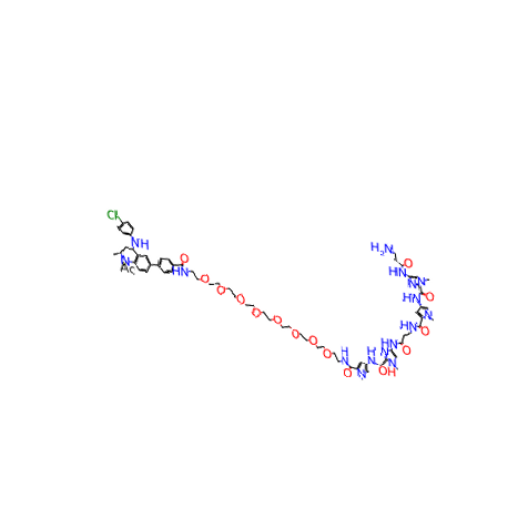 CC(=O)N1c2ccc(-c3ccc(C(=O)NCCOCCOCCOCCOCCOCCOCCOCCOCCNC(=O)c4cc(NC(O)c5nc(NC(=O)CCNC(=O)c6cc(NC(=O)c7nc(NC(=O)CCN)cn7C)cn6C)cn5C)cn4C)cc3)cc2C(Nc2ccc(Cl)cc2)C[C@@H]1C